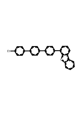 CCc1ccc(-c2ccc(-c3ccc(-c4cccc5c4sc4ccccc45)cc3)cc2)cc1